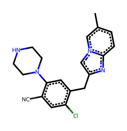 Cc1ccc2nc(Cc3cc(N4CCNCC4)c(C#N)cc3Cl)cn2c1